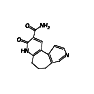 NC(=O)c1cc2c([nH]c1=O)CCCc1cnccc1-2